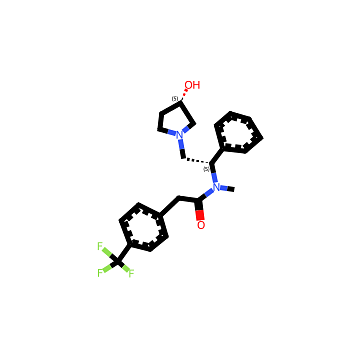 CN(C(=O)Cc1ccc(C(F)(F)F)cc1)[C@H](CN1CC[C@H](O)C1)c1ccccc1